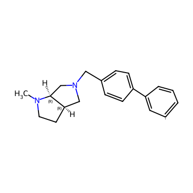 CN1CC[C@@H]2CN(Cc3ccc(-c4c[c]ccc4)cc3)C[C@@H]21